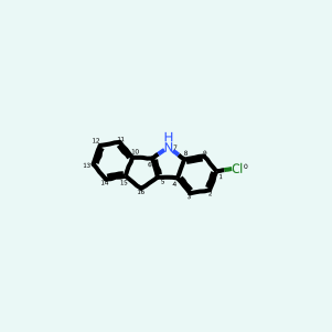 Clc1ccc2c3c([nH]c2c1)-c1ccccc1C3